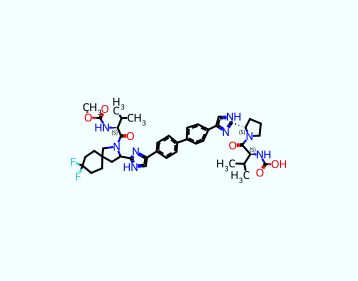 COC(=O)N[C@H](C(=O)N1CC2(CCC(F)(F)CC2)CC1c1nc(-c2ccc(-c3ccc(-c4c[nH]c([C@@H]5CCCN5C(=O)[C@@H](NC(=O)O)C(C)C)n4)cc3)cc2)c[nH]1)C(C)C